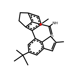 COc1c2cc(C([NH])=O)c(-c3cc(C(C)(C)C)cc4c3CC(C)=C4)c1CC2